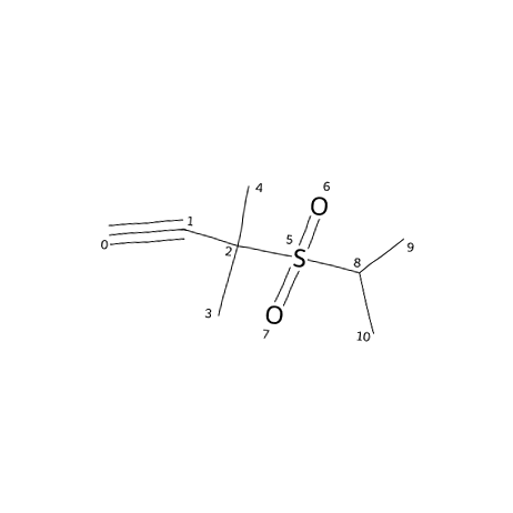 C#CC(C)(C)S(=O)(=O)C(C)C